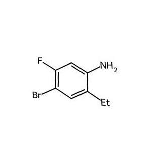 CCc1cc(Br)c(F)cc1N